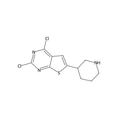 Clc1nc(Cl)c2cc(C3CCCNC3)sc2n1